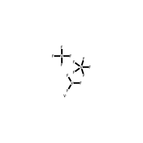 [F][V]([F])([F])([F])[F].[F][V]([F])([F])[F].[F][V]([F])[F].[V]